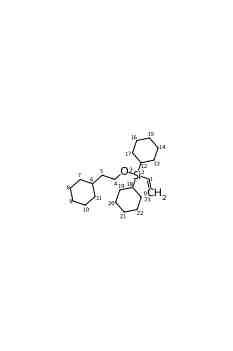 C=C[Si](OCCC1CCCCC1)(C1CCCCC1)C1CCCCC1